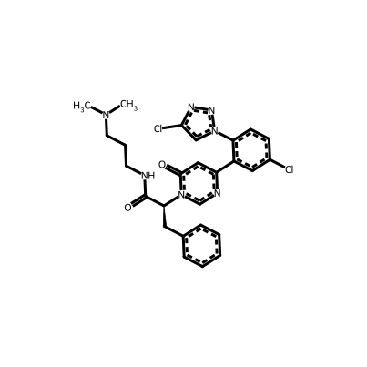 CN(C)CCCNC(=O)[C@H](Cc1ccccc1)n1cnc(-c2cc(Cl)ccc2-n2cc(Cl)nn2)cc1=O